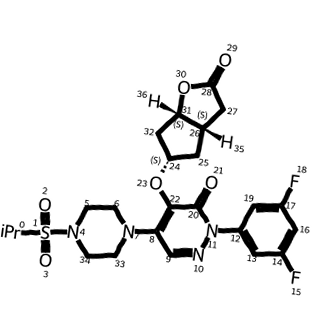 CC(C)S(=O)(=O)N1CCN(c2cnn(-c3cc(F)cc(F)c3)c(=O)c2O[C@H]2C[C@H]3CC(=O)O[C@H]3C2)CC1